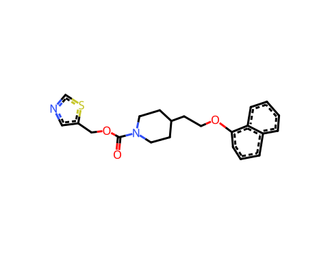 O=C(OCc1cncs1)N1CCC(CCOc2cccc3ccccc23)CC1